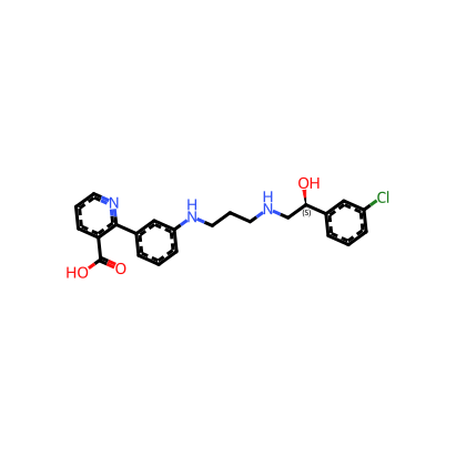 O=C(O)c1cccnc1-c1cccc(NCCCNC[C@@H](O)c2cccc(Cl)c2)c1